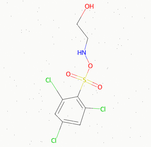 O=S(=O)(ONCCO)c1c(Cl)cc(Cl)cc1Cl